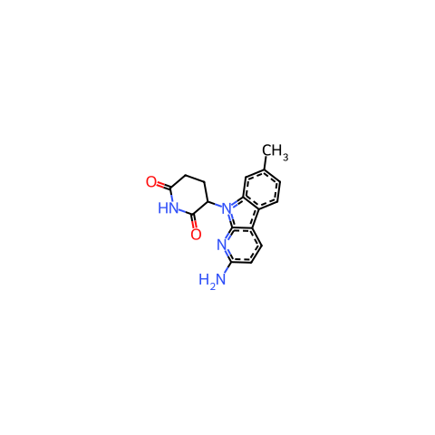 Cc1ccc2c3ccc(N)nc3n(C3CCC(=O)NC3=O)c2c1